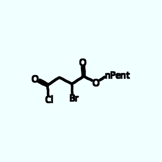 CCCCCOC(=O)C(Br)CC(=O)Cl